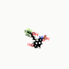 C=CC12CCc3cc(NS(=O)(=O)O)ccc3C1[C@@H](CCCC[C@H](O)C(F)(F)C(F)(F)C(F)(F)F)C[C@@]1(C)C2CC[C@@H]1O